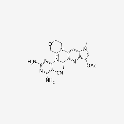 CC(=O)Oc1cn(C)c2cc(N3CCOCC3)c(C(C)Nc3nc(N)nc(N)c3C#N)nc12